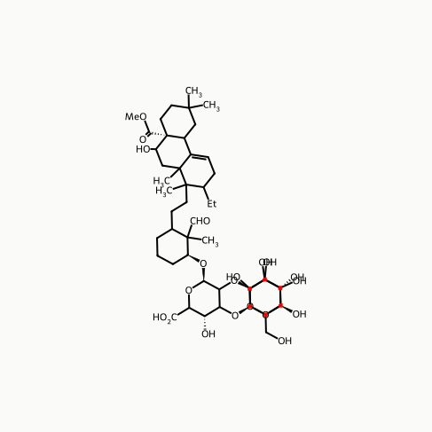 CCC1CC=C2C3CC(C)(C)CC[C@]3(C(=O)OC)C(O)CC2(C)C1(C)CCC1CCC[C@H](O[C@@H]2OC(C(=O)O)[C@@H](O)C(O[C@@H]3OC[C@@H](O)C(O)C3O)C2O[C@@H]2OC(CO)[C@H](O)C(O)C2O)C1(C)C=O